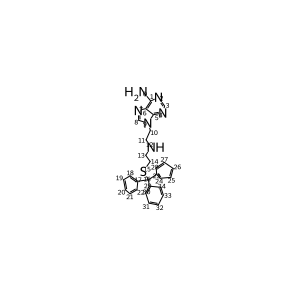 Nc1ncnc2c1ncn2CCNCCSC(c1ccccc1)(c1ccccc1)c1ccccc1